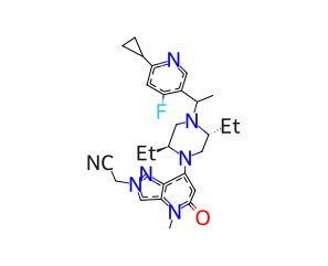 CC[C@H]1CN(C(C)c2cnc(C3CC3)cc2F)[C@H](CC)CN1c1cc(=O)n(C)c2cn(CC#N)nc12